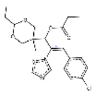 CCC(=O)OC(/C(=C/c1ccc(Cl)cc1)n1cncn1)C1(C)COC(CC)OC1